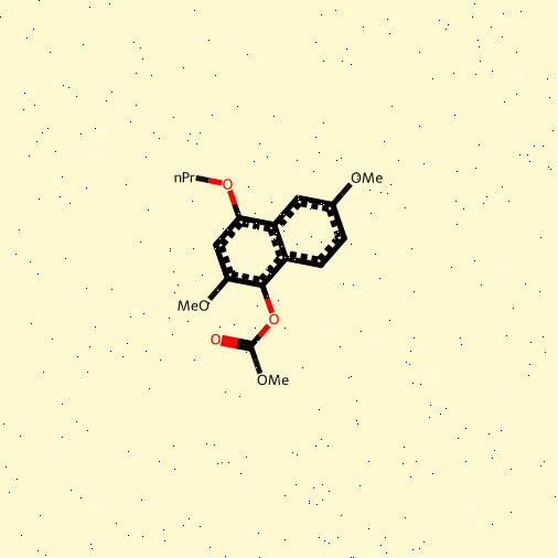 CCCOc1cc(OC)c(OC(=O)OC)c2ccc(OC)cc12